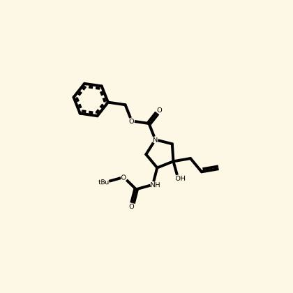 C=CCC1(O)CN(C(=O)OCc2ccccc2)CC1NC(=O)OC(C)(C)C